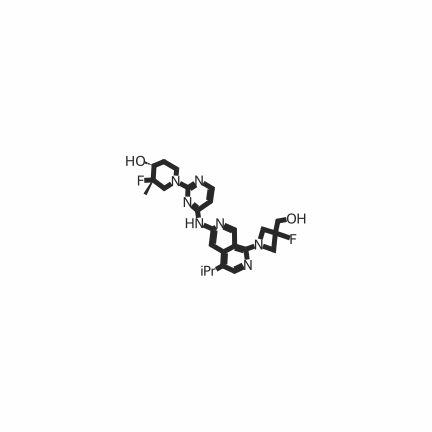 CC(C)c1cnc(N2CC(F)(CO)C2)c2cnc(Nc3ccnc(N4CC[C@@H](O)[C@@](C)(F)C4)n3)cc12